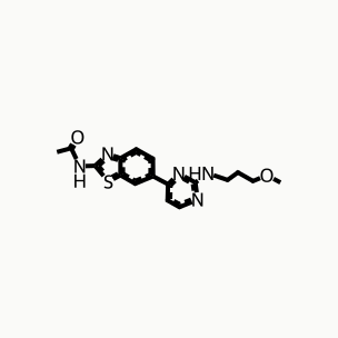 COCCCNc1nccc(-c2ccc3nc(NC(C)=O)sc3c2)n1